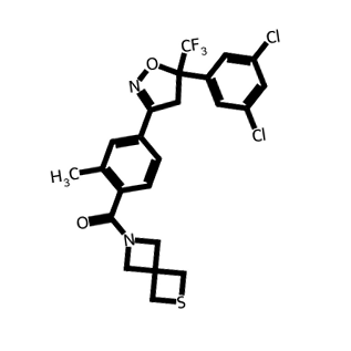 Cc1cc(C2=NOC(c3cc(Cl)cc(Cl)c3)(C(F)(F)F)C2)ccc1C(=O)N1CC2(CSC2)C1